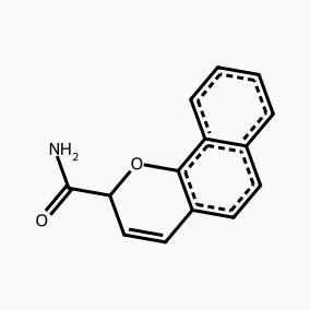 NC(=O)C1C=Cc2ccc3ccccc3c2O1